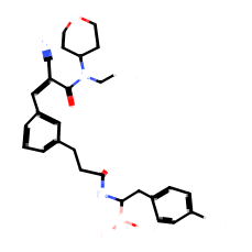 CCN(C(=O)C(C#N)=Cc1cccc(CCC(=O)NC(Cc2ccc(C)cc2)B(O)O)c1)C1CCOCC1